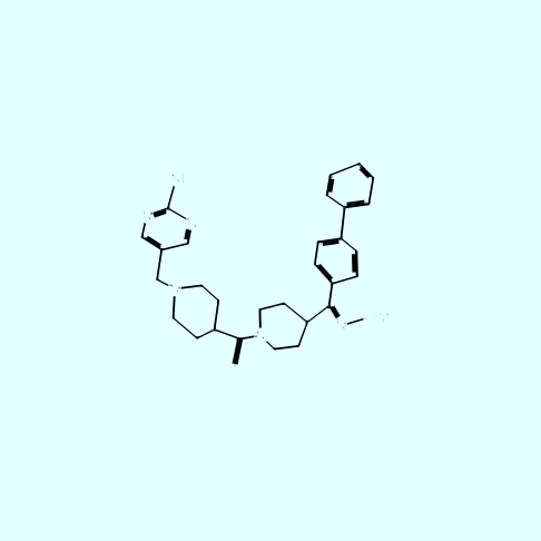 CO/N=C(\c1ccc(-c2ccccc2)cc1)C1CCN(C(=O)C2CCN(Cc3cnc(N)nc3)CC2)CC1